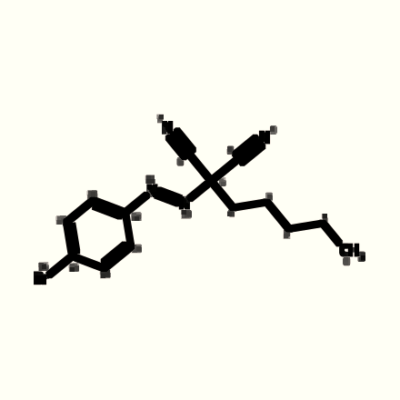 CCCCCC(C#N)(C#N)N=Nc1ccc(Br)cc1